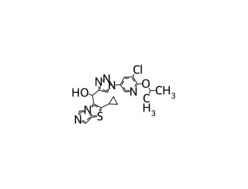 CC(C)Oc1ncc(-n2cc(C(O)c3c(C4CC4)sc4cncn34)nn2)cc1Cl